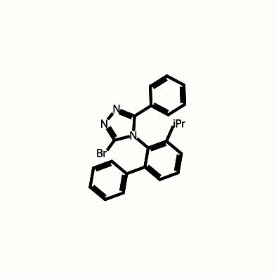 CC(C)c1cccc(-c2ccccc2)c1-n1c(Br)nnc1-c1ccccc1